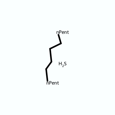 CCCCCCCCCCCCCC.S